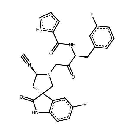 C#[N+][C@@H]1C[C@@]2(CN1CC(=O)[C@H](Cc1cccc(F)c1)NC(=O)c1ccc[nH]1)C(=O)Nc1ccc(F)cc12